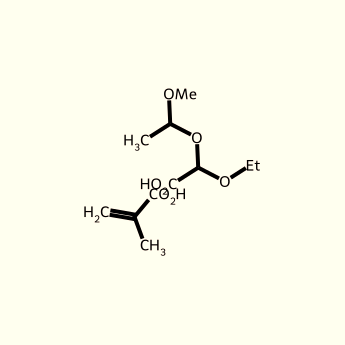 C=C(C)C(=O)O.CCOC(OC(C)OC)C(=O)O